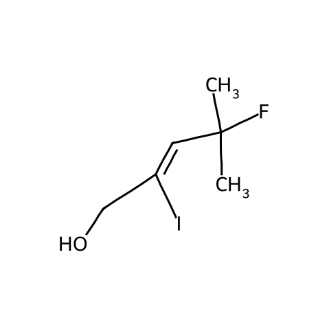 CC(C)(F)C=C(I)CO